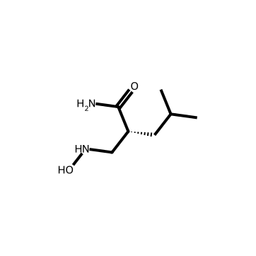 CC(C)C[C@H](CNO)C(N)=O